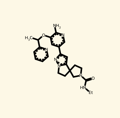 CCNC(=O)N1CCC2(CCn3nc(-c4cnc(N)c(OC(C)c5ccccn5)c4)cc32)C1